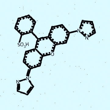 O=S(=O)(O)c1ccccc1-c1c2cc/c(=[N+]3/C=CC=N3)cc-2oc2cc(-n3cccn3)ccc12